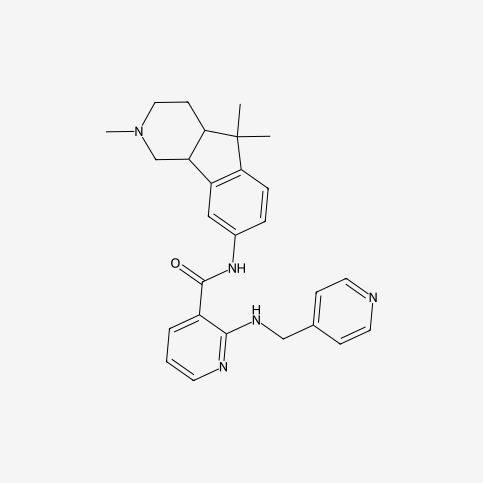 CN1CCC2C(C1)c1cc(NC(=O)c3cccnc3NCc3ccncc3)ccc1C2(C)C